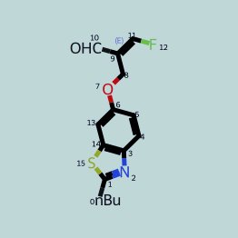 CCCCc1nc2ccc(OC/C(C=O)=C\F)cc2s1